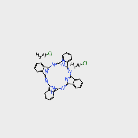 [AlH2][Cl].[AlH2][Cl].c1ccc2c(c1)-c1nc-2nc2[nH]c(nc3nc(nc4[nH]c(n1)c1ccccc41)-c1ccccc1-3)c1ccccc21